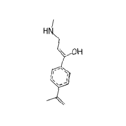 C=C(C)c1ccc(/C(O)=C/CNC)cc1